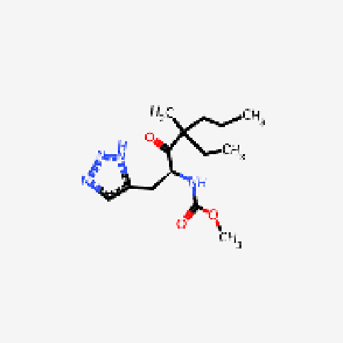 CCCC(C)(CC)C(=O)[C@H](Cc1cnn[nH]1)NC(=O)OC